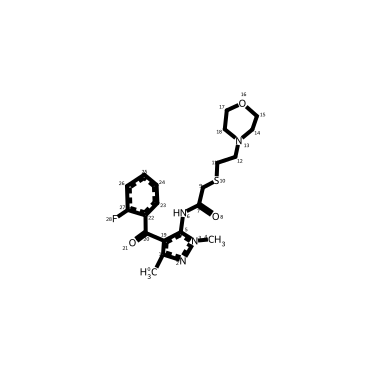 Cc1nn(C)c(NC(=O)CSCCN2CCOCC2)c1C(=O)c1ccccc1F